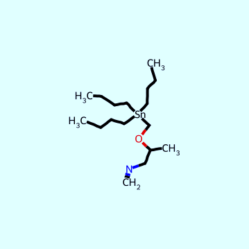 C=NCC(C)O[CH2][Sn]([CH2]CCC)([CH2]CCC)[CH2]CCC